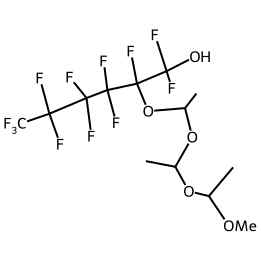 COC(C)OC(C)OC(C)OC(F)(C(O)(F)F)C(F)(F)C(F)(F)C(F)(F)C(F)(F)F